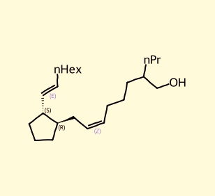 CCCCCC/C=C/[C@H]1CCC[C@@H]1C/C=C\CCCC(CO)CCC